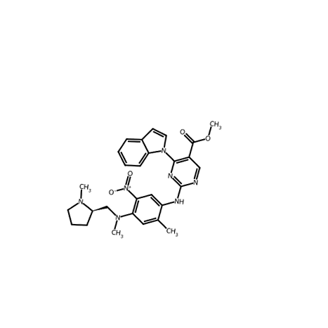 COC(=O)c1cnc(Nc2cc([N+](=O)[O-])c(N(C)C[C@H]3CCCN3C)cc2C)nc1-n1ccc2ccccc21